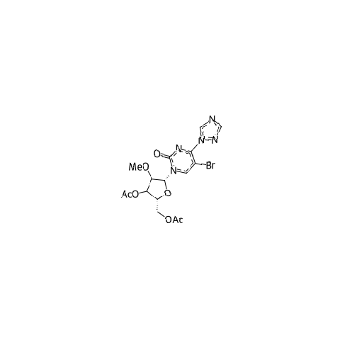 COC1C(OC(C)=O)[C@@H](COC(C)=O)O[C@H]1n1cc(Br)c(-n2cncn2)nc1=O